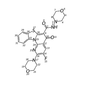 O=C(NN1CCOCC1)c1c(=O)c2cc(F)c(N3CCOCC3)nc2n2c1sc1ccccc12